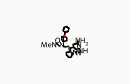 CNC(=O)CN(CC[C@H](c1ccccc1)c1cc(N)nc2[nH]nnc12)C12CCC(c3ccccc3)(CC1)CC2